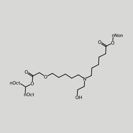 CCCCCCCCCOC(=O)CCCCCN(CCO)CCCCCOCC(=O)OC(CCCCCCCC)CCCCCCCC